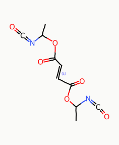 CC(N=C=O)OC(=O)/C=C/C(=O)OC(C)N=C=O